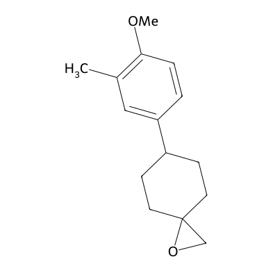 COc1ccc(C2CCC3(CC2)CO3)cc1C